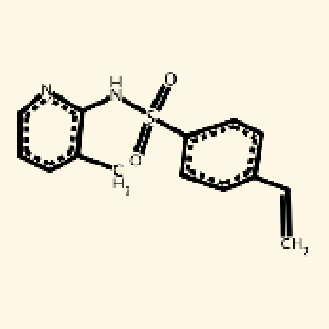 C=Cc1ccc(S(=O)(=O)Nc2ncccc2C)cc1